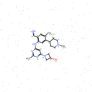 Cc1nc(Nc2cc(C3CCN(C)CC3F)c(C)cc2C=N)cc(N2CC(O)C2)n1